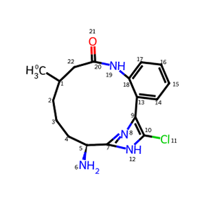 CC1CCC[C@H](N)c2nc(c(Cl)[nH]2)-c2ccccc2NC(=O)C1